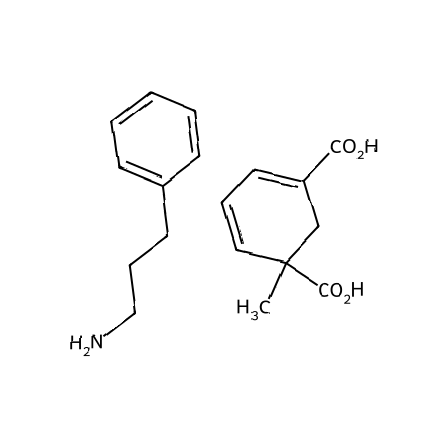 CC1(C(=O)O)C=CC=C(C(=O)O)C1.NCCCc1ccccc1